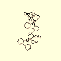 O=S1O[C@H]2[C@H](COC[C@@H]2n2c3ccccc3c3c(C4OC[C@H](n5c6ccccc6c6ccccc65)[C@@H](O)[C@H]4O)cccc32)O1